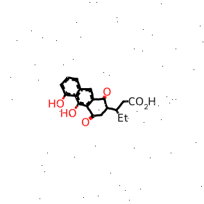 CCC(CC(=O)O)C1CC(=O)c2c(cc3cccc(O)c3c2O)C1=O